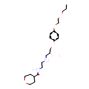 CCCOCCOc1ccc(OC[C@@H](O)CNCCNC(=O)C2CCOCC2)cc1